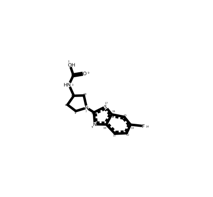 O=C(O)NC1CCN(c2nc3ccc(F)cc3s2)C1